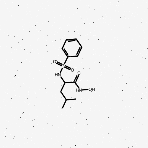 CC(C)CC(NS(=O)(=O)c1ccccc1)C(=O)NO